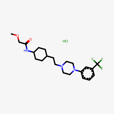 COCC(=O)NC1CCC(CCN2CCN(c3cccc(C(F)(F)F)c3)CC2)CC1.Cl